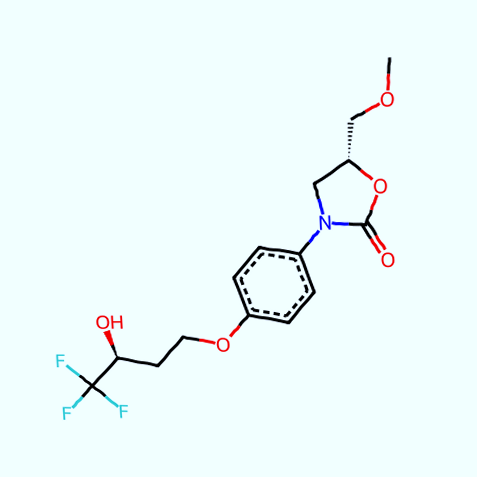 COC[C@H]1CN(c2ccc(OCC[C@H](O)C(F)(F)F)cc2)C(=O)O1